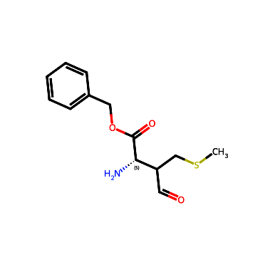 CSCC(C=O)[C@H](N)C(=O)OCc1ccccc1